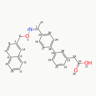 CC(=NOCc1ccc2ccccc2c1)c1ccc(-c2cccc(CC(=O)O)c2)cc1